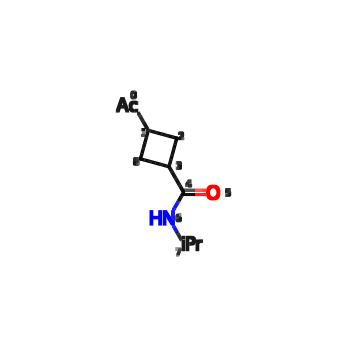 CC(=O)C1CC(C(=O)NC(C)C)C1